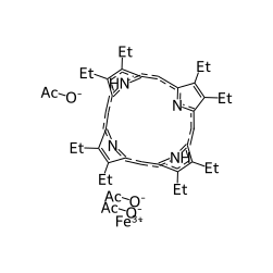 CC(=O)[O-].CC(=O)[O-].CC(=O)[O-].CCC1=C(CC)c2cc3[nH]c(cc4nc(cc5[nH]c(cc1n2)c(CC)c5CC)C(CC)=C4CC)c(CC)c3CC.[Fe+3]